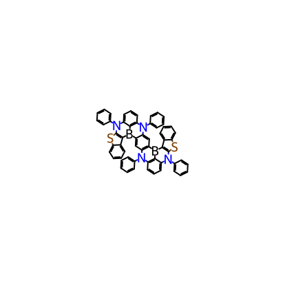 c1ccc(N2c3cc4c(cc3B3c5c2cccc5N(c2ccccc2)c2sc5ccccc5c23)N(c2ccccc2)c2cccc3c2B4c2c(sc4ccccc24)N3c2ccccc2)cc1